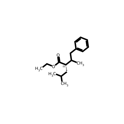 CCOC(=O)[C@@H](CC(C)C)C(C)Cc1ccccc1